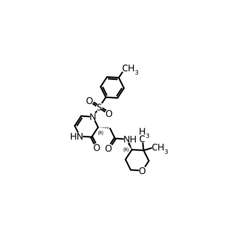 Cc1ccc(S(=O)(=O)N2C=CNC(=O)[C@H]2CC(=O)N[C@@H]2CCOCC2(C)C)cc1